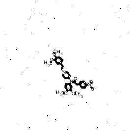 COc1ccc(CCN2CCC(N(C(=O)Cc3ccc([N+](=O)[O-])cc3)c3ccc(OC)c(OC)c3)CC2)cc1OC